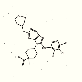 CC1(C(N)=O)CCC(n2c(Nc3ccc(Cl)c(Cl)c3Cl)nc3cnc(NC4CCOCC4)nc32)CC1